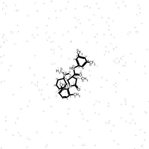 Cc1cccc(C)c1N1C[C@@](CN(C)C2CCCCC2)(C(=O)Nc2cc(C(F)(F)F)cc(C(F)(F)F)c2)[C@H](C)C1=O